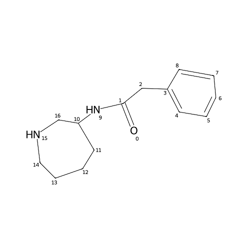 O=C(Cc1ccccc1)NC1CCCCNC1